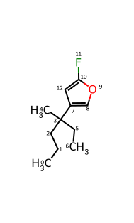 CCCC(C)(CC)c1coc(F)c1